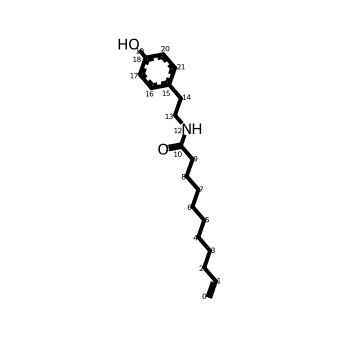 C=CCCCCCCCCC(=O)NCCc1ccc(O)cc1